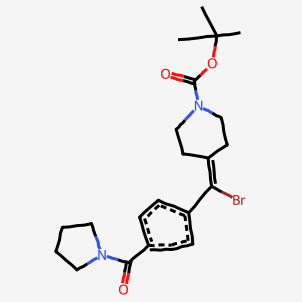 CC(C)(C)OC(=O)N1CCC(=C(Br)c2ccc(C(=O)N3CCCC3)cc2)CC1